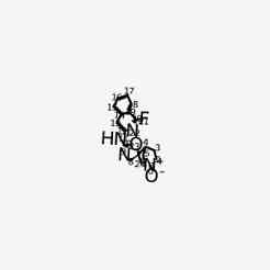 [O-][N+]12CCC(CC1)[C@]1(CN=C(Nc3cc4ccccc4c(F)n3)O1)C2